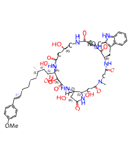 COc1ccc(/C=C/CCCC[C@H](C)[C@H](O)[C@@H](O)[C@H]2NC(=O)C[C@@H](O)CNC(=O)CNC(=O)[C@@H](Cc3c(C(=O)O)[nH]c4ccccc34)NC(=O)CN(C)C(=O)C[C@@]3(O)NC(=O)[C@H](O)[C@@H]3NC(=O)[C@H]2O)cc1